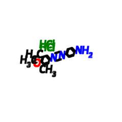 COc1c(C)cc(N2CCN(c3ccc(N)cc3)CC2)cc1C.Cl.Cl